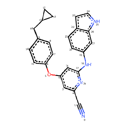 N#Cc1cc(Oc2ccc(CC3CC3)cc2)cc(Nc2ccc3cc[nH]c3c2)n1